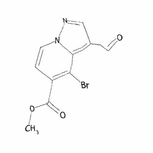 COC(=O)c1ccn2ncc(C=O)c2c1Br